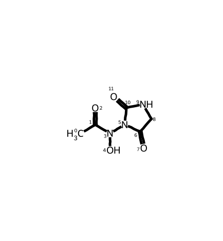 CC(=O)N(O)N1C(=O)CNC1=O